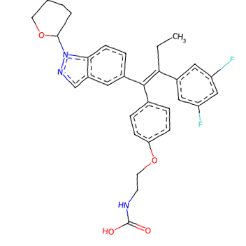 CC/C(=C(/c1ccc(OCCNC(=O)O)cc1)c1ccc2c(cnn2C2CCCCO2)c1)c1cc(F)cc(F)c1